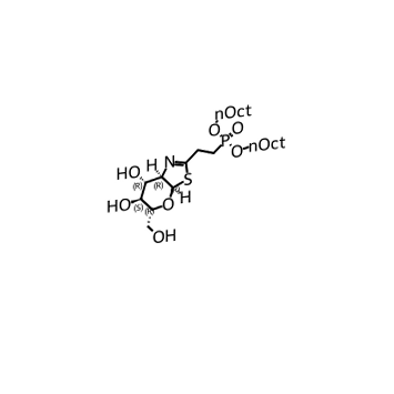 CCCCCCCCOP(=O)(CCC1=N[C@@H]2[C@@H](O)[C@H](O)[C@@H](CO)O[C@@H]2S1)OCCCCCCCC